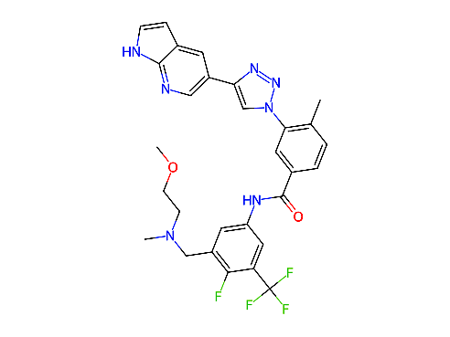 COCCN(C)Cc1cc(NC(=O)c2ccc(C)c(-n3cc(-c4cnc5[nH]ccc5c4)nn3)c2)cc(C(F)(F)F)c1F